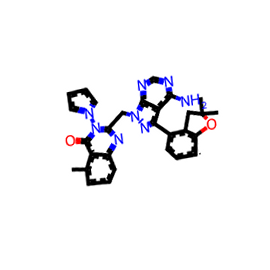 Cc1cccc2nc(Cn3nc(-c4cc[c]c5c4CC(C)(C)O5)c4c(N)ncnc43)n(-n3cccc3)c(=O)c12